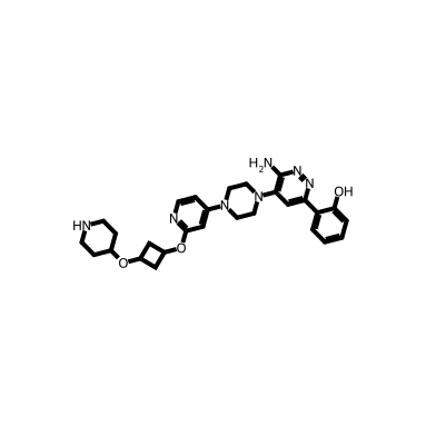 Nc1nnc(-c2ccccc2O)cc1N1CCN(c2ccnc(OC3CC(OC4CCNCC4)C3)c2)CC1